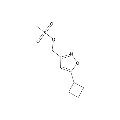 CS(=O)(=O)OCc1cc(C2CCC2)on1